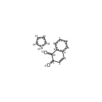 O=C1C=Cc2ccccc2C1=O.c1ccsc1